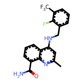 Cc1cc(NCc2cccc(C(F)(F)F)c2F)c2cccc(C(N)=O)c2n1